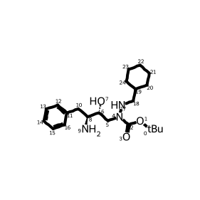 CC(C)(C)OC(=O)N(C[C@@H](O)[C@@H](N)Cc1ccccc1)NCC1CCCCC1